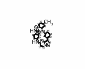 Cc1ccc(S(=O)(=O)Nc2ccc(Nc3ccn4ncc(-c5cccc(N)c5)c4n3)cc2)cc1